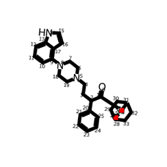 O=C(C(CCN1CCN(c2cccc3[nH]ccc23)CC1)c1ccccc1)N1CC2CCC(CC2)C1